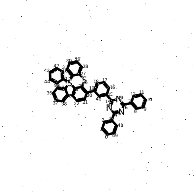 c1ccc(-c2nc(-c3ccccc3)nc(-c3cccc(-c4cccc5c4Sc4ccccc4S5(c4ccccc4)c4ccccc4)c3)n2)cc1